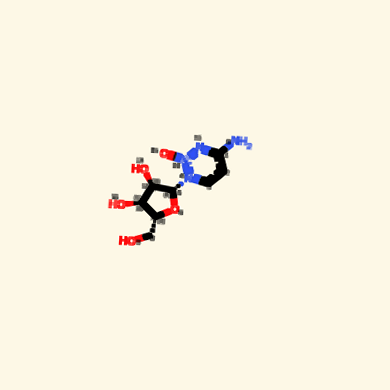 Nc1ccn([C@@H]2O[C@H](CO)[C@@H](O)[C@H]2O)[n+](=O)n1